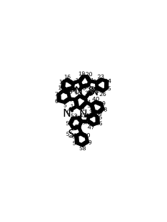 N#Cc1c(-c2ccccc2)c(-n2c3ccccc3c3ccc4c5ccccc5sc4c32)c(C#N)c(-c2ccccc2)c1-n1c2ccccc2c2c3c(ccc21)sc1ccccc13